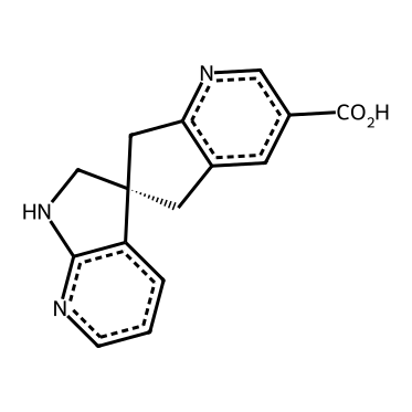 O=C(O)c1cnc2c(c1)C[C@]1(CNc3ncccc31)C2